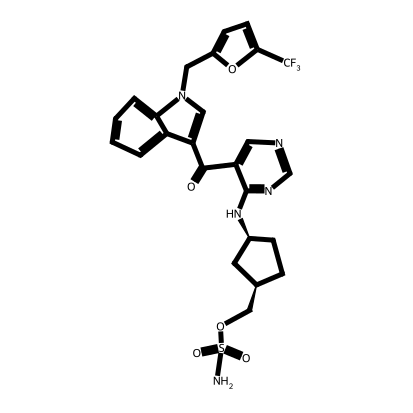 NS(=O)(=O)OC[C@@H]1CC[C@H](Nc2ncncc2C(=O)c2cn(Cc3ccc(C(F)(F)F)o3)c3ccccc23)C1